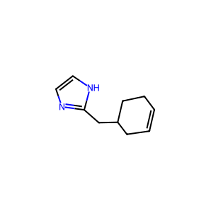 C1=CCC(Cc2ncc[nH]2)CC1